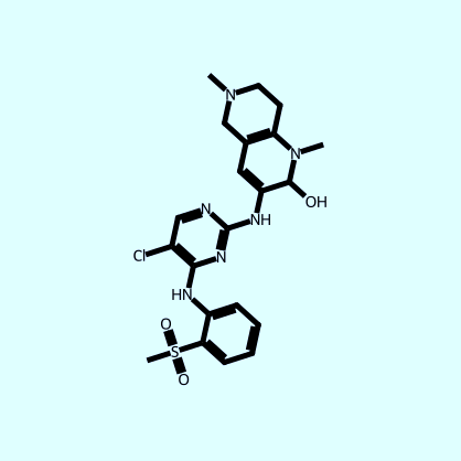 CN1CCC2=C(C=C(Nc3ncc(Cl)c(Nc4ccccc4S(C)(=O)=O)n3)C(O)N2C)C1